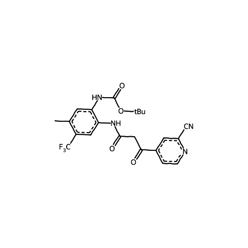 Cc1cc(NC(=O)OC(C)(C)C)c(NC(=O)CC(=O)c2ccnc(C#N)c2)cc1C(F)(F)F